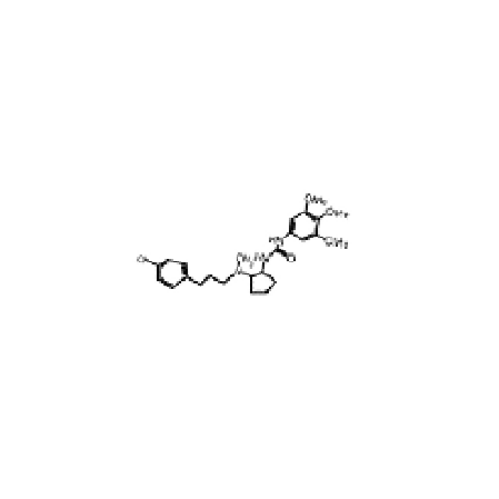 COc1cc(NC(=O)NC2CCCC2N(C)CCCc2ccc(Cl)cc2)cc(OC)c1OC